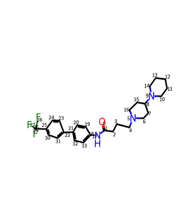 O=C(CCCN1CCC(N2CCCCC2)CC1)Nc1ccc(-c2ccc(C(F)(F)F)cc2)cc1